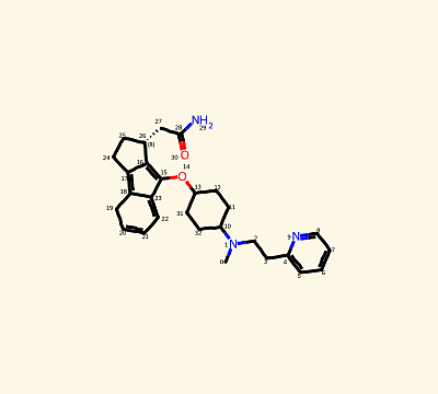 CN(CCc1ccccn1)C1CCC(OC2=C3C(=C4CC=CC=C42)CC[C@@H]3CC(N)=O)CC1